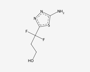 Nc1nnc(C(F)(F)CCO)s1